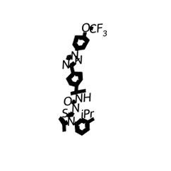 Cc1cccc(-n2c(C)cs/c2=N\C(=O)NC(C)(C)c2ccc(-c3ncn(-c4ccc(OC(F)(F)F)cc4)n3)cc2)c1C(C)C